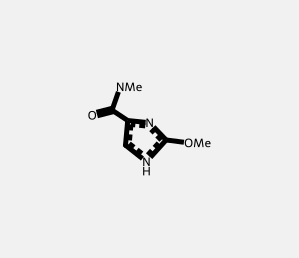 CNC(=O)c1c[nH]c(OC)n1